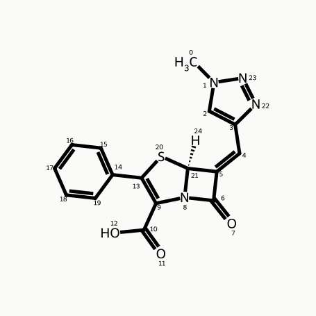 Cn1cc(/C=C2/C(=O)N3C(C(=O)O)=C(c4ccccc4)S[C@@H]23)nn1